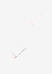 CO[Si](C)(CCCCC1CCC2OC2C1)OC